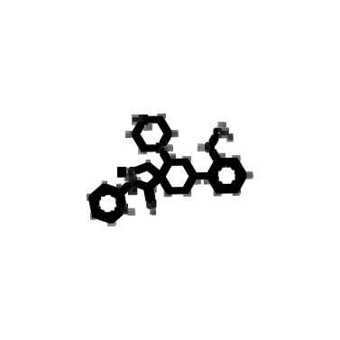 CCC1(C(=O)Nc2ccccn2)CCC(c2ccccc2OC)CC1N1CCNCC1